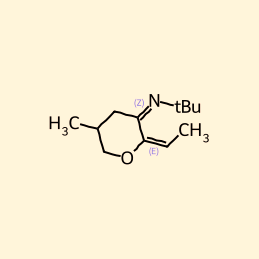 C/C=C1/OCC(C)C/C1=N/C(C)(C)C